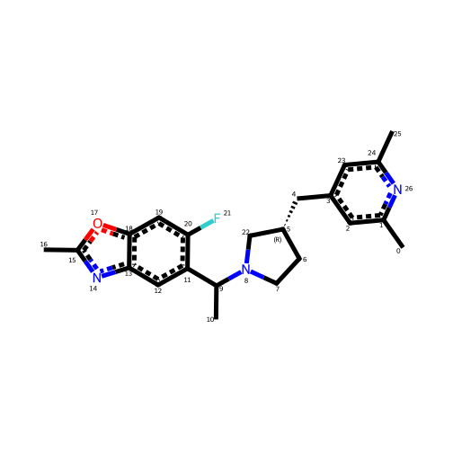 Cc1cc(C[C@@H]2CCN(C(C)c3cc4nc(C)oc4cc3F)C2)cc(C)n1